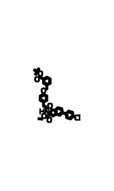 CCOC(=O)C1(NC(=O)Cc2ccc(OCc3cccc(C(=O)OC(C)(C)C)c3)cc2)Cc2ccc(-c3ccc(Cl)cc3)cc2C1